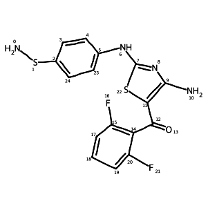 NSc1ccc(Nc2nc(N)c(C(=O)c3c(F)cccc3F)s2)cc1